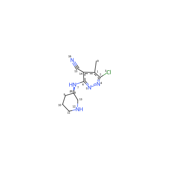 Cc1c(Cl)nnc(N[C@@H]2CCCNC2)c1C#N